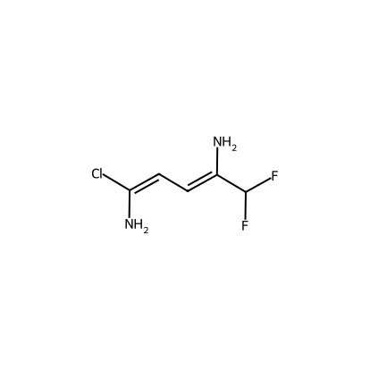 N/C(=C\C=C(/N)Cl)C(F)F